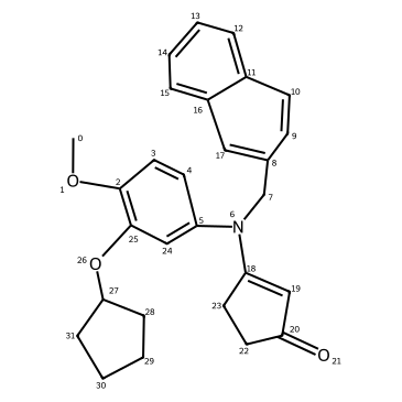 COc1ccc(N(Cc2ccc3ccccc3c2)C2=CC(=O)CC2)cc1OC1CCCC1